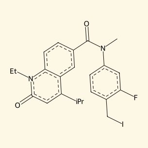 CCn1c(=O)cc(C(C)C)c2cc(C(=O)N(C)c3ccc(CI)c(F)c3)ccc21